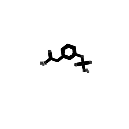 NC(=O)Cc1cccc(OS(N)(=O)=O)c1